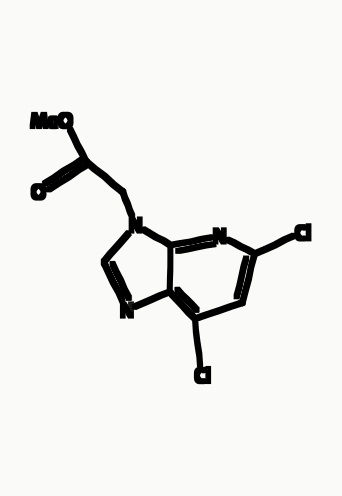 COC(=O)Cn1cnc2c(Cl)cc(Cl)nc21